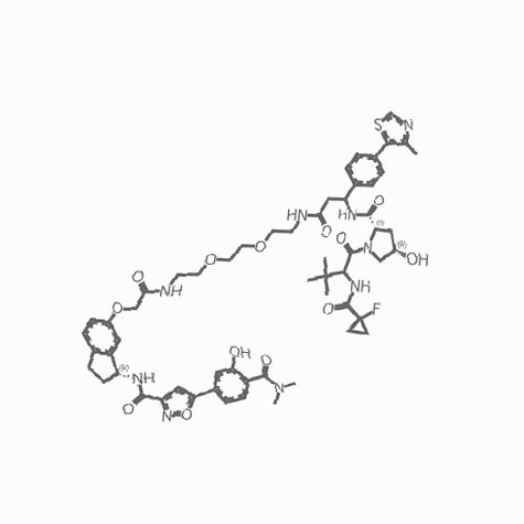 Cc1ncsc1-c1ccc(C(CC(=O)NCCOCCOCCNC(=O)COc2ccc3c(c2)[C@H](NC(=O)c2cc(-c4ccc(C(=O)N(C)C)c(O)c4)on2)CC3)NC(=O)[C@@H]2C[C@@H](O)CN2C(=O)C(NC(=O)C2(F)CC2)C(C)(C)C)cc1